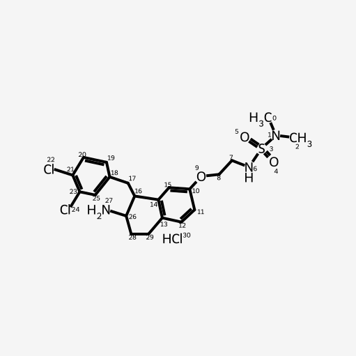 CN(C)S(=O)(=O)NCCOc1ccc2c(c1)C(Cc1ccc(Cl)c(Cl)c1)C(N)CC2.Cl